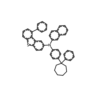 c1ccc(-c2cccc3sc4ccc(N(c5ccc(C6(c7ccccc7)CCCCCC6)cc5)c5ccc6ccccc6c5)cc4c23)cc1